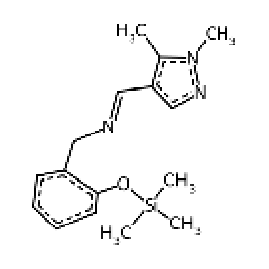 Cc1c(C=NCc2ccccc2O[Si](C)(C)C)cnn1C